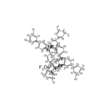 Cc1cc(C)cc(-c2ccc3c(c2)c2cc(-c4cc(C)cc(C)c4)ccc2n3-c2ccc(-c3c(C(F)(F)F)cccc3C(F)(F)F)cc2-c2c(C#N)cccc2-n2c3ccc(-c4cc(C)cc(C)c4)cc3c3cc(-c4cc(C)cc(C)c4)ccc32)c1